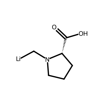 [Li][CH2]N1CCC[C@H]1C(=O)O